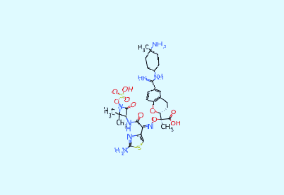 CC1(N)CCC(NC(=N)c2ccc3c(c2)CC[C@H]([C@](C)(O/N=C(\C(=O)N[C@@H]2C(=O)N(OS(=O)(=O)O)C2(C)C)c2csc(N)n2)C(=O)O)O3)CC1